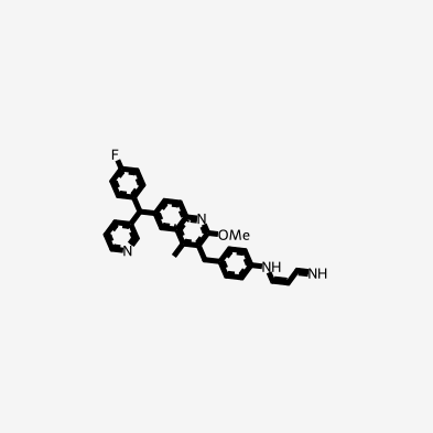 COc1nc2ccc(C(c3ccc(F)cc3)c3cccnc3)cc2c(C)c1Cc1ccc(N/C=C\C=N)cc1